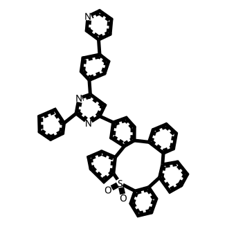 O=S1(=O)c2ccccc2-c2ccccc2-c2ccccc2-c2ccc(-c3cc(-c4ccc(-c5cccnc5)cc4)nc(-c4ccccc4)n3)cc2-c2ccccc21